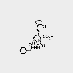 O=C(Cc1ccccc1)NC1C(=O)N2C(C(=O)O)=C(/C=C/c3scnc3Cl)CS[C@H]12